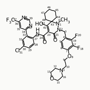 CN1N(Cc2ccc(OCCN3CCOCC3)c(F)c2F)C(=O)C(C(=O)Nc2ccc(Cl)cc2-c2cc(C(F)(F)F)ncn2)=C(O)C12CCCCC2